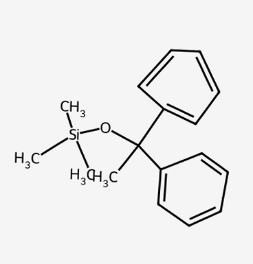 CC(O[Si](C)(C)C)(c1ccccc1)c1ccccc1